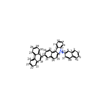 c1ccc2cc(-n3c4ccccc4c4c5ccc(-c6cc7ccccc7c7ccccc67)cc5ccc43)ccc2c1